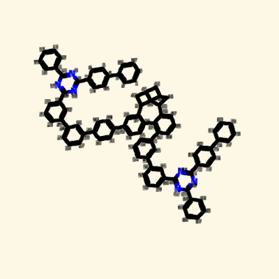 c1ccc(-c2ccc(-c3nc(-c4ccccc4)nc(-c4cccc(-c5cccc(-c6ccc(-c7ccc8c(c7)C7CC9CC%10CC(c%11cccc(-c%12cccc(-c%13cccc(-c%14nc(-c%15ccccc%15)nc(-c%15ccc(-c%16ccccc%16)cc%15)n%14)c%13)c%12)c%11-8)C9%107)cc6)c5)c4)n3)cc2)cc1